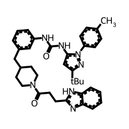 Cc1ccc(-n2nc(C(C)(C)C)cc2NC(=O)Nc2cccc(CC3CCN(C(=O)CCc4nc5ccccc5[nH]4)CC3)c2)cc1